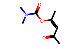 CC(=O)C=C(C)OC(=O)N(C)C